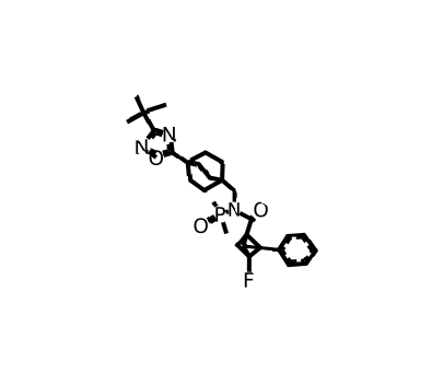 CC(C)(C)c1noc(C23CCC(CN(C(=O)C45CC(F)(C4)C5c4ccccc4)P(C)(C)=O)(CC2)CC3)n1